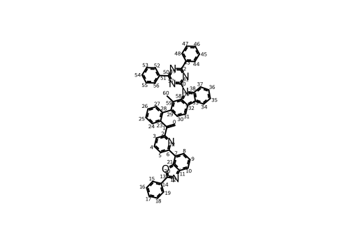 C=C(c1cccc(-c2cccc3nc(-c4ccccc4)oc23)n1)c1ccccc1-c1ccc2c3ccccc3n(-c3nc(-c4ccccc4)nc(-c4ccccc4)n3)c2c1C